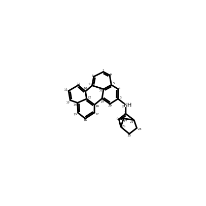 C1=C(Nc2cc3cccc4c5cccc6cccc(c(c2)c34)c65)C2CCC1C2